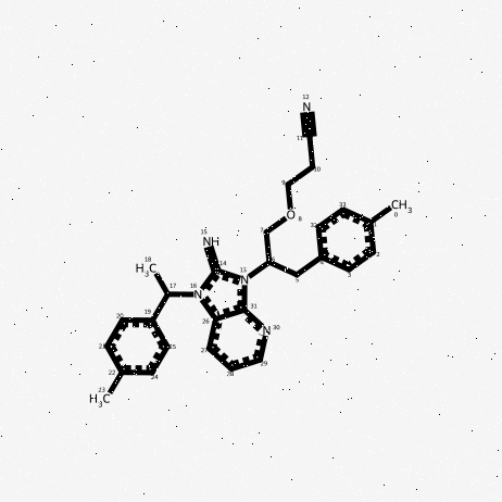 Cc1ccc(CC(COCCC#N)n2c(=N)n(C(C)c3ccc(C)cc3)c3cccnc32)cc1